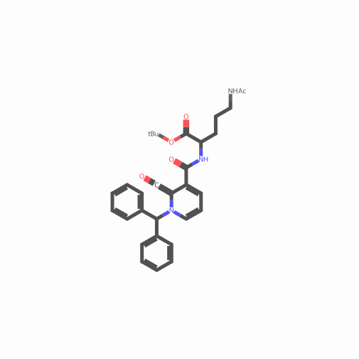 CC(=O)NCCCC(NC(=O)C1=CC=CN(C(c2ccccc2)c2ccccc2)C1=C=O)C(=O)OC(C)(C)C